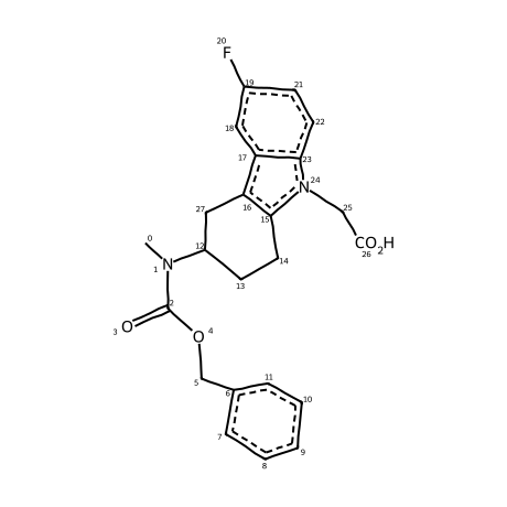 CN(C(=O)OCc1ccccc1)C1CCc2c(c3cc(F)ccc3n2CC(=O)O)C1